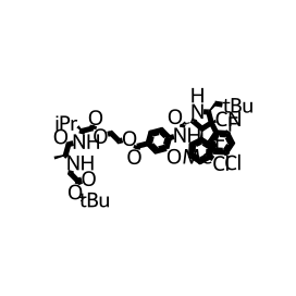 COc1cc(C(=O)OCCOC(=O)[C@@H](NC(=O)[C@H](C)NCC(=O)OC(C)(C)C)C(C)C)ccc1NC(=O)[C@@H]1N[C@@H](CC(C)(C)C)[C@](C#N)(c2ccc(Cl)cc2F)[C@H]1c1cccc(Cl)c1F